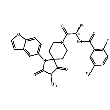 CC(C)[C@@H](NC(=O)c1cc(C(F)(F)F)ccc1F)C(=O)N1CCC2(CC1)C(=O)N(C)C(=O)N2c1ccc2occc2c1